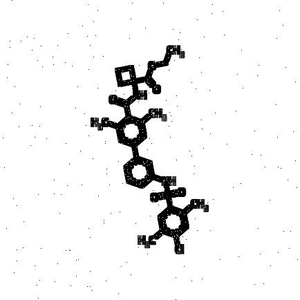 CCOC(=O)C1(NC(=O)c2c(C)cc(-c3cccc(NS(=O)(=O)c4cc(C)c(Cl)cc4C)c3)cc2C)CCC1